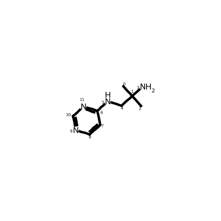 CC(C)(N)CNc1ccncn1